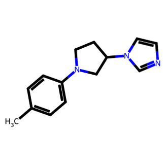 Cc1ccc(N2CCC(n3ccnc3)C2)cc1